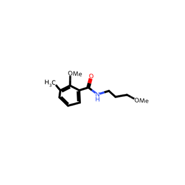 COCCCNC(=O)c1cccc(C)c1OC